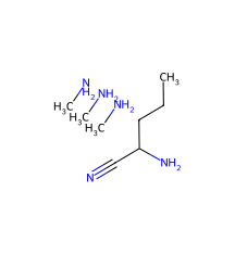 CCCC(N)C#N.CN.CN.CN